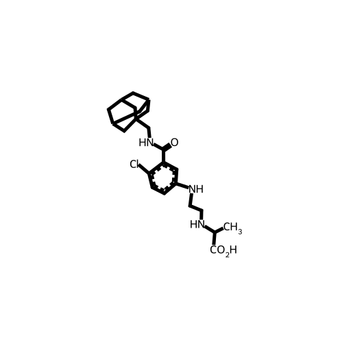 CC(NCCNc1ccc(Cl)c(C(=O)NCC23CC4CC(CC(C4)C2)C3)c1)C(=O)O